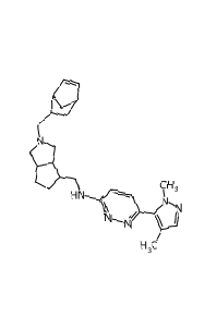 Cc1cnn(C)c1-c1ccc(NCC2CCC3CN(CC4CC5C=CC4C5)CC23)nn1